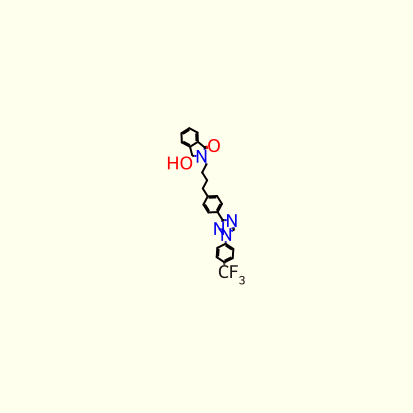 O=C1c2ccccc2C(O)N1CCCCc1ccc(-c2ncn(-c3ccc(C(F)(F)F)cc3)n2)cc1